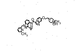 Cc1cccc(Cn2nc(C3CC3)c3c(NC(=O)c4cnc5cc(OCCN6CC[N+](C)(O)CC6)ccn45)cccc32)n1